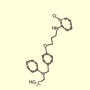 O=C(O)CN(Cc1ccc(OCCCNc2cccc[n+]2[O-])cc1)c1ccccc1